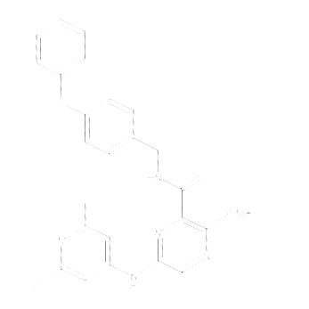 COc1ncc(Nc2cc(F)nc(F)c2)nc1C(=O)NCc1ccc(Oc2ccccc2)cc1